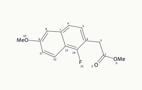 COC(=O)Cc1ccc2cc(OC)ccc2c1F